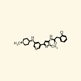 CN1CCC(Nc2cncc(-c3cc(NC(=O)Cc4ccccc4Cl)n(C)n3)c2)CC1